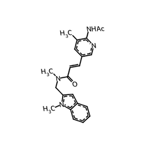 CC(=O)Nc1ncc(C=CC(=O)N(C)Cc2cc3ccccc3n2C)cc1C